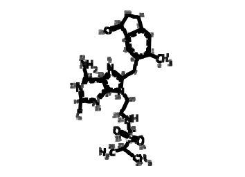 Cc1cc2c(cc1Cc1nc3c(N)nc(F)nc3n1CCNS(=O)(=O)C(C)C)C(=O)CC2